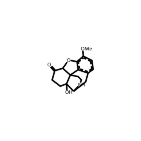 COc1ccc2c3c1OC1C(=O)CCC4(O)C(C2)NCCC314